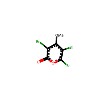 COc1c(Br)c(Br)oc(=O)c1Br